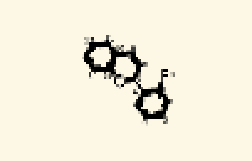 Fc1ccccc1[C@@H]1C=Cc2ccccc2O1